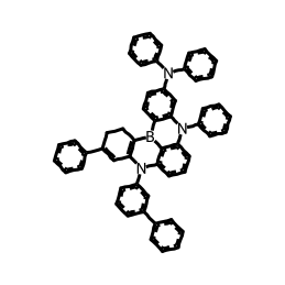 C1=C(c2ccccc2)CCC2=C1N(c1cccc(-c3ccccc3)c1)c1cccc3c1B2c1ccc(N(c2ccccc2)c2ccccc2)cc1N3c1ccccc1